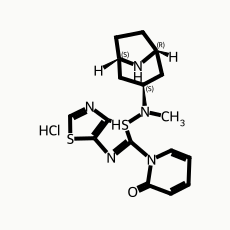 CN([C@@H]1C[C@H]2CC[C@@H](C1)N2)[SH]1C(n2ccccc2=O)=Nc2scnc21.Cl